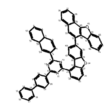 C1=CC2C=CC(c3nc(-c4ccc(-c5ccccc5)cc4)nc(-c4cccc5oc6cc(-c7cc8ccccc8c8oc9ccccc9c78)ccc6c45)n3)=CC2C=C1